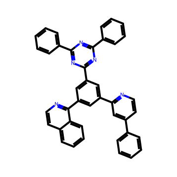 c1ccc(-c2ccnc(-c3cc(-c4nc(-c5ccccc5)nc(-c5ccccc5)n4)cc(-c4nccc5ccccc45)c3)c2)cc1